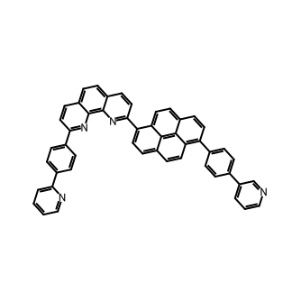 c1ccc(-c2ccc(-c3ccc4ccc5ccc(-c6ccc7ccc8c(-c9ccc(-c%10cccnc%10)cc9)ccc9ccc6c7c98)nc5c4n3)cc2)nc1